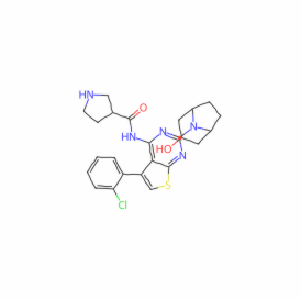 O=C(Nc1nc(N2C3CCC2CC(O)C3)nc2scc(-c3ccccc3Cl)c12)C1CCNC1